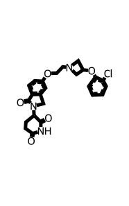 O=C1CCC(N2Cc3cc(OCCN4CC(Oc5ccccc5Cl)C4)ccc3C2=O)C(=O)N1